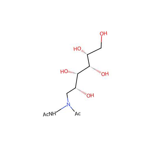 CC(=O)NN(C[C@@H](O)[C@H](O)[C@@H](O)[C@H](O)CO)C(C)=O